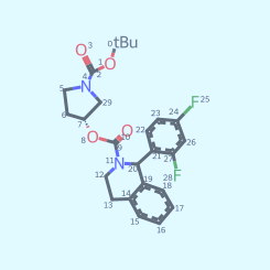 CC(C)(C)OC(=O)N1CC[C@@H](OC(=O)N2CCc3ccccc3C2c2ccc(F)cc2F)C1